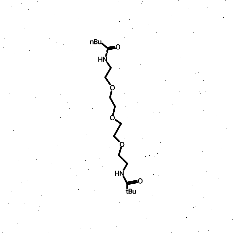 CCCCC(=O)NCCOCCOCCOCCNC(=O)C(C)(C)C